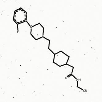 N#CCNC(=O)CC1CCC(CCN2CCN(c3ccccc3F)CC2)CC1